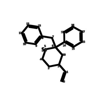 C=CC1CC[Se]C(Cc2ccccc2)(c2ccccc2)C1